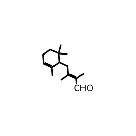 CC1=CCCC(C)(C)C1C/C(C)=C(\C)C=O